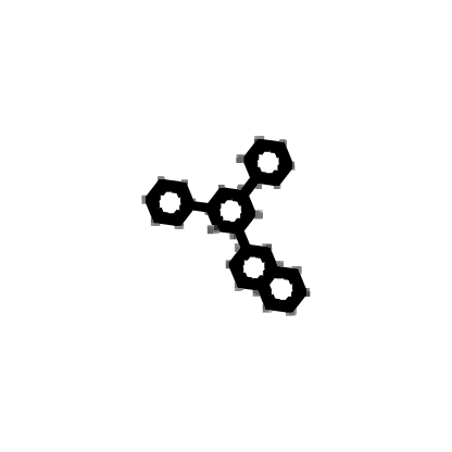 c1ccc(-c2cc(-c3ccccc3)pc(-c3ccc4ccccc4c3)c2)cc1